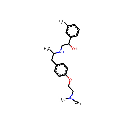 CC(Cc1ccc(OCCN(C)C)cc1)NCC(O)c1cccc(C(F)(F)F)c1